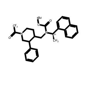 C[C@H](c1cccc2ccccc12)N(CC1CCN(C(=O)C(F)(F)F)CC1c1ccccc1)C(=O)OC(C)(C)C